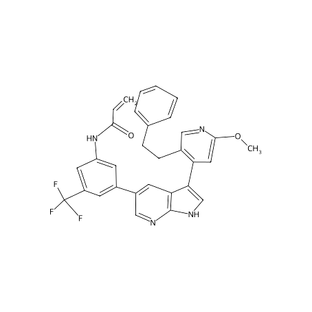 C=CC(=O)Nc1cc(-c2cnc3[nH]cc(-c4cc(OC)ncc4CCc4ccccc4)c3c2)cc(C(F)(F)F)c1